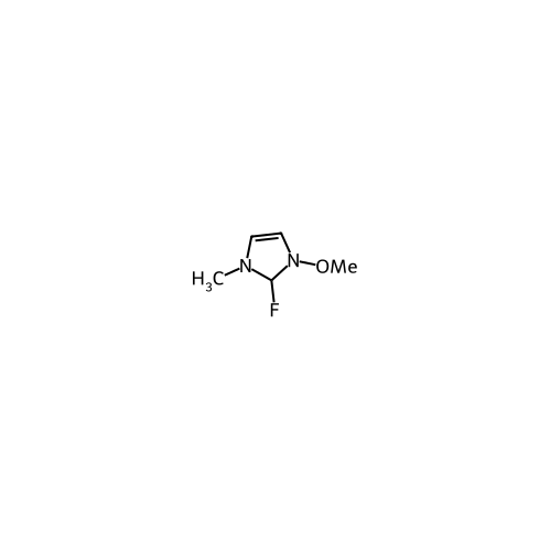 CON1C=CN(C)C1F